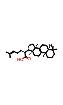 CC(C)=CCC[C@H](C(=O)O)[C@@H]1CC[C@]2(C)C3=C(CC[C@@]12C)[C@@]1(C)CCCC(C)(C)[C@@H]1CC3